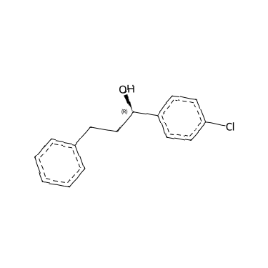 O[C@H](CCc1ccccc1)c1ccc(Cl)cc1